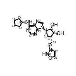 O[C@@H]1[C@H](O)[C@H](n2cnc3c(NC4CCCC4)ncnc32)O[C@H]1CSN1C=CON1